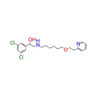 OC(CNCCCCCCOCCc1ccccn1)c1cc(Cl)cc(Cl)c1